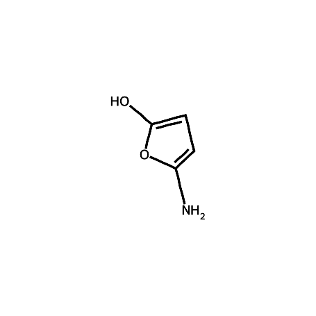 Nc1ccc(O)o1